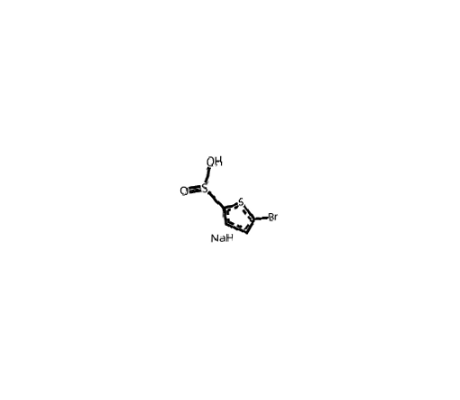 O=S(O)c1ccc(Br)s1.[NaH]